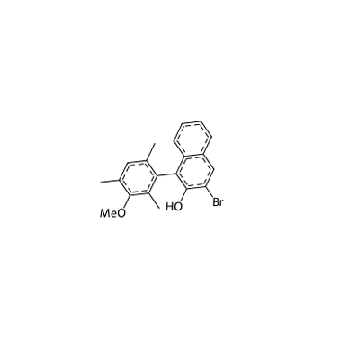 COc1c(C)cc(C)c(-c2c(O)c(Br)cc3ccccc23)c1C